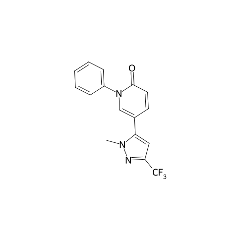 Cn1nc(C(F)(F)F)cc1-c1ccc(=O)n(-c2ccccc2)c1